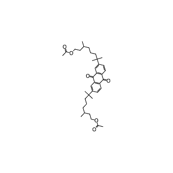 CC(=O)OCCC(C)CCCC(C)(C)c1ccc2c(c1)C(=O)c1cc(C(C)(C)CCCC(C)CCOC(C)=O)ccc1C2=O